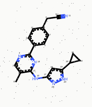 Cc1cnc(-c2ccc(CC#N)cc2)nc1Nc1cc(C2CC2)[nH]n1